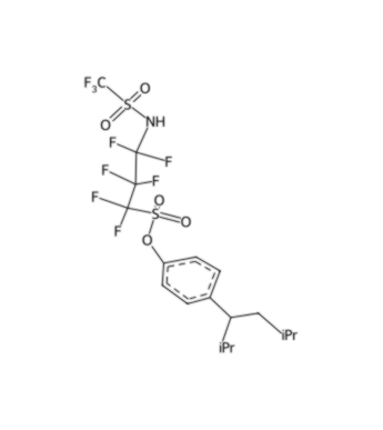 CC(C)CC(c1ccc(OS(=O)(=O)C(F)(F)C(F)(F)C(F)(F)NS(=O)(=O)C(F)(F)F)cc1)C(C)C